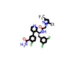 CCc1cc(C(F)(F)F)nn1CC(=O)N[C@@H](Cc1cc(F)cc(F)c1)c1cnccc1-c1ccc(F)c(C(N)=O)c1